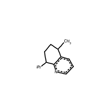 CC1CCC(C(C)C)c2ncccc21